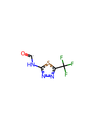 O=[C]Nc1nnc(C(F)(F)F)s1